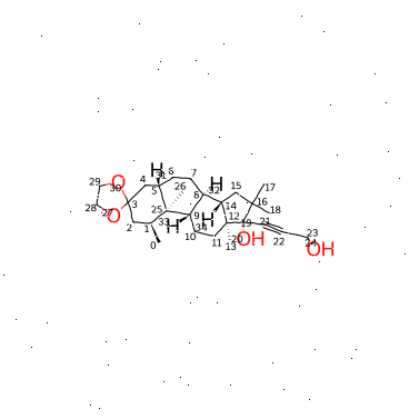 C[C@H]1CC2(C[C@@H]3CC[C@@H]4[C@H](CC[C@@]5(C)[C@H]4CC(C)(C)[C@@]5(O)C#CCO)[C@]31C)OCCO2